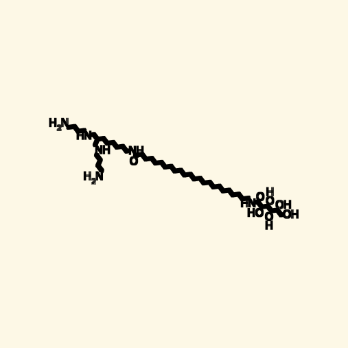 NCCCCNCC(CCCCCCNC(=O)CCCCCCCCCCCCCCCCCCCCCCCNC(=O)[C@H](O)[C@@H](O)[C@H](O)[C@H](O)CO)CNCCCCN